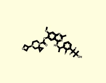 COc1cc2nc(C)nc(NC(C)c3cccc(C(F)(F)C(C)(C)O)c3F)c2cc1OC(=O)N1CCN(C2COC2)CC12CC2